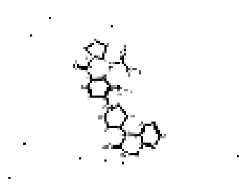 NC(=O)O[C@H]1CCCN1C(=O)c1ccc(N2CCC(N3C(=O)OCc4ccccc43)CC2)c([N+](=O)[O-])c1